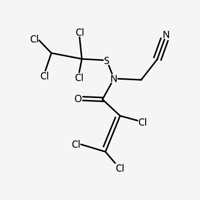 N#CCN(SC(Cl)(Cl)C(Cl)Cl)C(=O)C(Cl)=C(Cl)Cl